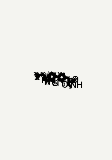 O=C1CNC(=O)N1Cc1ccc(-c2ccc3c(nnn3CC3CC3)c2Cl)cc1